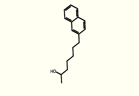 CC(O)CCCCCc1ccc2ccccc2c1